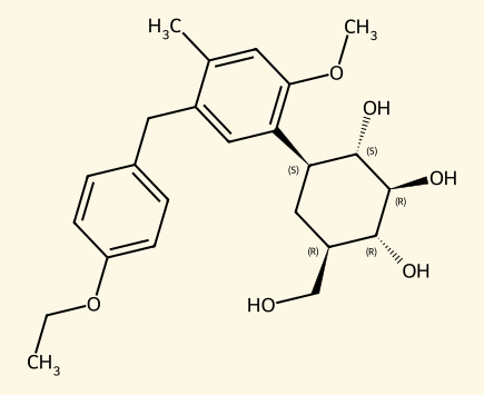 CCOc1ccc(Cc2cc([C@@H]3C[C@H](CO)[C@@H](O)[C@H](O)[C@H]3O)c(OC)cc2C)cc1